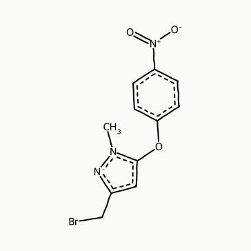 Cn1nc(CBr)cc1Oc1ccc([N+](=O)[O-])cc1